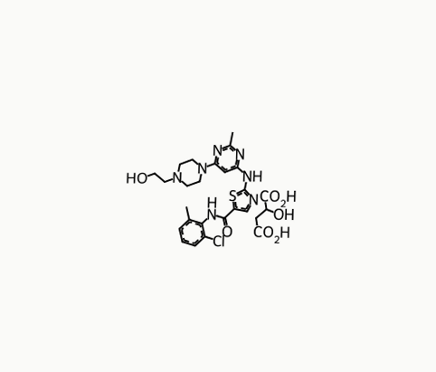 Cc1nc(Nc2ncc(C(=O)Nc3c(C)cccc3Cl)s2)cc(N2CCN(CCO)CC2)n1.O=C(O)CC(O)C(=O)O